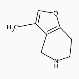 Cc1coc2c1CNCC2